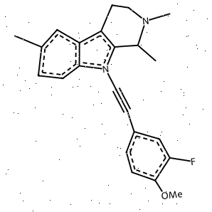 COc1ccc(C#Cn2c3c(c4cc(C)ccc42)CCN(C)C3C)cc1F